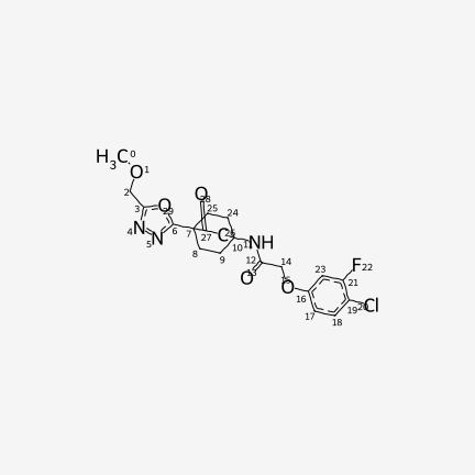 COCc1nnc(C23CCC(NC(=O)COc4ccc(Cl)c(F)c4)(CC2)CC3=O)o1